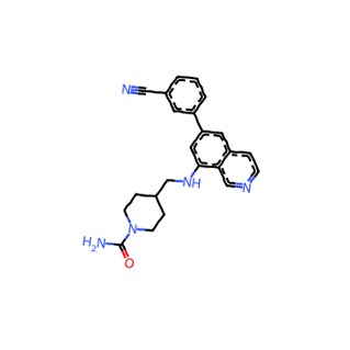 N#Cc1cccc(-c2cc(NCC3CCN(C(N)=O)CC3)c3cnccc3c2)c1